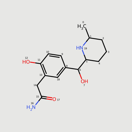 CC1CCCC(C(O)c2ccc(O)c(CC(N)=O)c2)N1